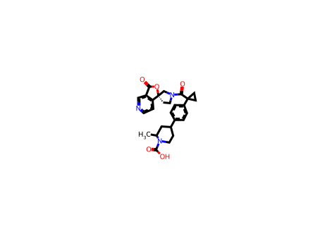 CC1CC(c2ccc(C3(C(=O)N4CC[C@@]5(C4)OC(=O)c4cnccc45)CC3)cc2)CCN1C(=O)O